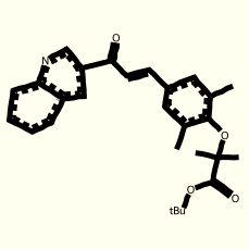 Cc1cc(/C=C/C(=O)c2cnc3ccccc3c2)cc(C)c1OC(C)(C)C(=O)OC(C)(C)C